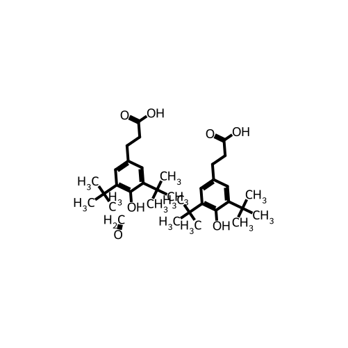 C=O.CC(C)(C)c1cc(CCC(=O)O)cc(C(C)(C)C)c1O.CC(C)(C)c1cc(CCC(=O)O)cc(C(C)(C)C)c1O